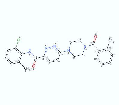 Cc1cccc(Cl)c1NC(=O)c1ccc(N2CCN(C(=O)c3ccccc3C(F)(F)F)CC2)nn1